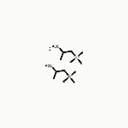 CC(=O)OC(C)C[N+](C)(C)C.CC(=O)OC(C)C[N+](C)(C)C.Cl